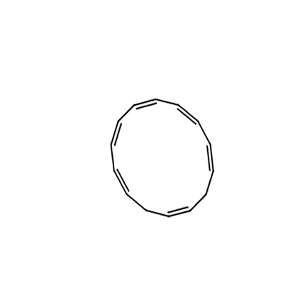 C1=CC=CC=CCC=CCC=CC=C1